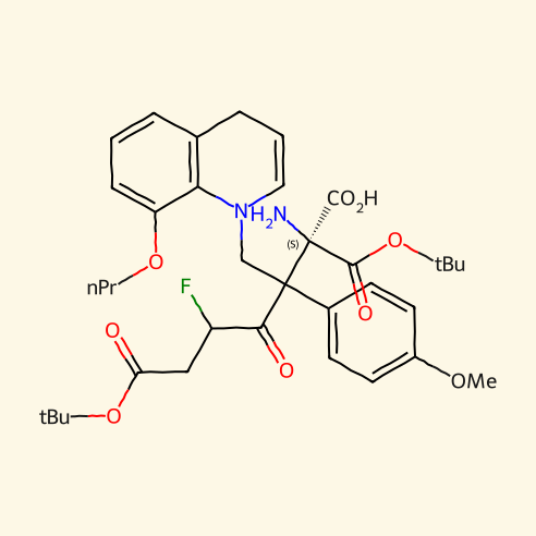 CCCOc1cccc2c1N(CC(C(=O)C(F)CC(=O)OC(C)(C)C)(c1ccc(OC)cc1)[C@](N)(C(=O)O)C(=O)OC(C)(C)C)C=CC2